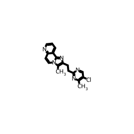 Cc1nc(CCc2nc3c4cccnc4ccn3c2C)ncc1Cl